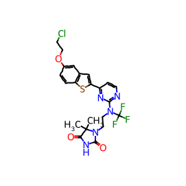 CC1(C)C(=O)NC(=O)N1CCN(c1nccc(-c2cc3cc(OCCCl)ccc3s2)n1)C(F)(F)F